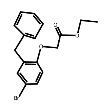 CCOC(=O)COc1ccc(Br)cc1Cc1ccccc1